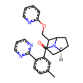 Cc1ccc(-c2ncccn2)c(C(=O)N2C3CC[C@H]2CCC3COc2ccccn2)c1